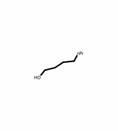 CCCC[CH]CCO